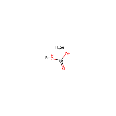 O=[Se](O)O.[Fe].[SeH2]